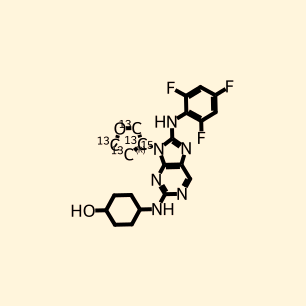 OC1CCC(Nc2ncc3nc(Nc4c(F)cc(F)cc4F)[15n]([13C@@H]4[13CH2][13CH2]O[13CH2]4)c3n2)CC1